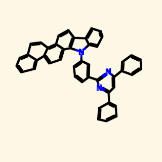 c1ccc(-c2cc(-c3ccccc3)nc(-c3cccc(-n4c5ccccc5c5ccc6c7ccc8ccccc8c7ccc6c54)c3)n2)cc1